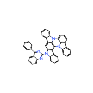 c1ccc(-c2nc(-n3c4ccccc4c4c3cc3c5ccccc5n5c6cccc7c8ccccc8n(c76)c4c35)nc3ccccc23)cc1